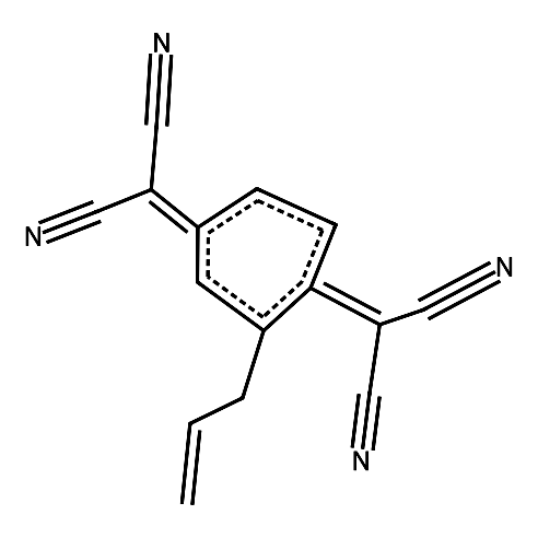 C=CCc1cc(=C(C#N)C#N)ccc1=C(C#N)C#N